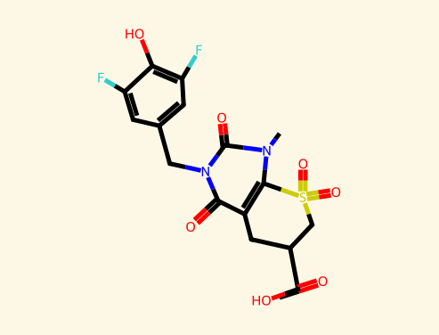 Cn1c2c(c(=O)n(Cc3cc(F)c(O)c(F)c3)c1=O)CC(C(=O)O)CS2(=O)=O